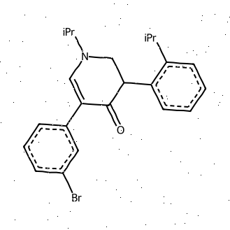 CC(C)c1ccccc1C1CN(C(C)C)C=C(c2cccc(Br)c2)C1=O